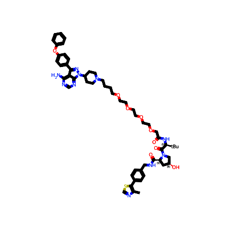 Cc1ncsc1-c1ccc(CNC(=O)[C@@H]2C[C@@H](O)CN2C(=O)[C@@H](NC(=O)COCCOCCOCCOCCCCN2CCC(n3nc(-c4ccc(Oc5ccccc5)cc4)c4c(N)ncnc43)CC2)C(C)(C)C)cc1